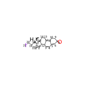 CCCC1C2C=CC3=CC(=O)CCC3C2CCC1(C)CCCCI